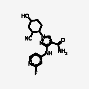 N#CC1CC(O)CCC1n1cc(C(N)=O)c(Nc2ccnc(F)c2)n1